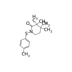 Cc1ccc(SN2CCC(C)(C)C(C)(C)C2=O)cc1